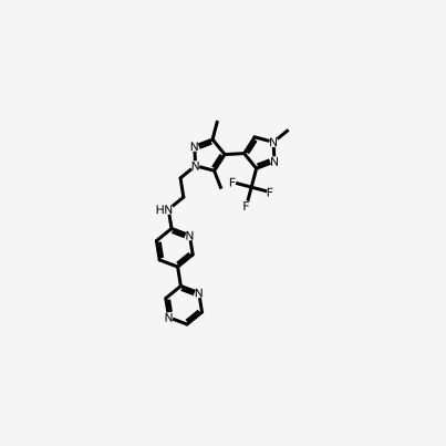 Cc1nn(CCNc2ccc(-c3cnccn3)cn2)c(C)c1-c1cn(C)nc1C(F)(F)F